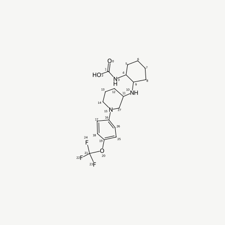 O=C(O)NC1CCCCC1NC1CCCN(c2ccc(OC(F)(F)F)cc2)C1